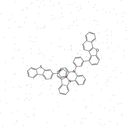 c1cc(-c2cccc3oc4c5ccccc5ccc4c23)cc(N(c2ccc(-c3ccc4c(c3)sc3ccccc34)cc2)c2ccccc2-n2c3ccccc3c3ccccc32)c1